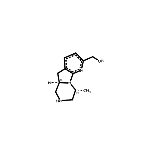 C[C@@H]1CNC[C@H]2Cc3ccc(CO)nc3N21